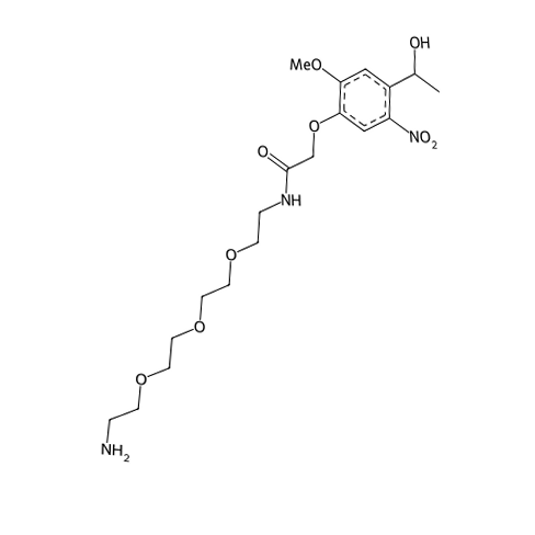 COc1cc(C(C)O)c([N+](=O)[O-])cc1OCC(=O)NCCOCCOCCOCCN